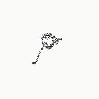 CO[C@@H]1C[C@H](C[C@@H](C)[C@@H]2CC(=O)[C@H](C)/C=C(\C)[C@@H](O)[C@@H](OC)C(=O)[C@H](C)C[C@H](C)/C=C/C=C/C=C(\C)C(OCCOCCOCCOCCOCCOCCO)C[C@@H]3CC[C@@H](C)[C@@](O)(O3)C(=O)C(=O)N3CCCC[C@H]3C(=O)O2)CC[C@H]1O